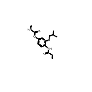 CCC(=S)Nc1ccc(OC(=O)NC)cc1OCC(C)C